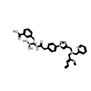 C=C/C=C(/CN(Cc1ccccn1)Cc1cn(-c2ccc(CC(=O)N[C@@H](Cc3cccc(C(=O)O)c3)B(O)O)cc2)nn1)N=C